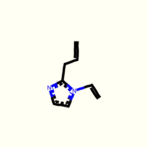 C=CCc1nccn1C=C